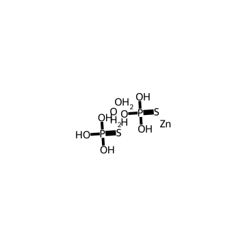 O.O.OP(O)(O)=S.OP(O)(O)=S.[Zn]